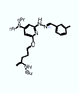 C=C(CCCOc1cc(N(CCC)CCC)cc(N/N=C/c2cccc(C)c2)n1)NC(C)CC